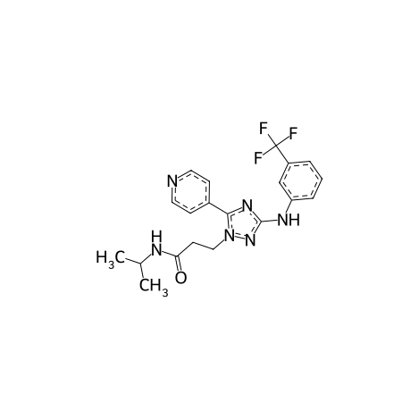 CC(C)NC(=O)CCn1nc(Nc2cccc(C(F)(F)F)c2)nc1-c1ccncc1